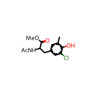 COC(=O)C(Cc1cc(C)c(O)c(Cl)c1)NC(C)=O